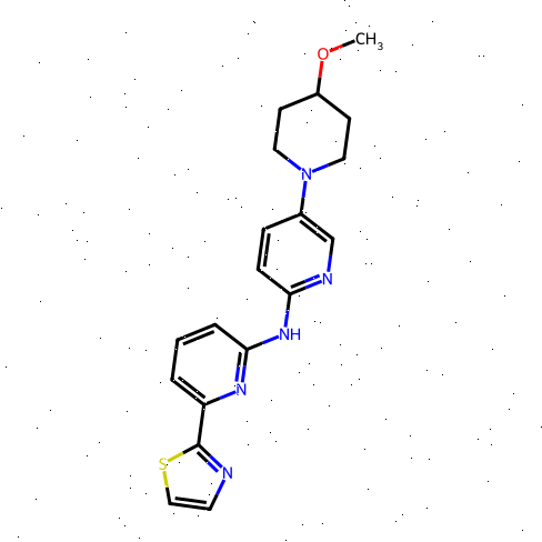 COC1CCN(c2ccc(Nc3cccc(-c4nccs4)n3)nc2)CC1